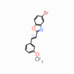 FC(F)(F)Oc1cccc(/C=C/c2nc3cc(Br)ccc3o2)c1